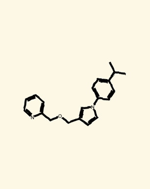 CC(C)c1ccc(-n2ccc(COCc3ccccn3)c2)cc1